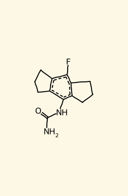 NC(=O)Nc1c2c(c(F)c3c1CCC3)CCC2